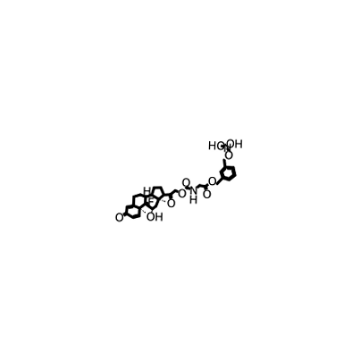 C[C@]12C[C@H](O)C3(F)[C@@H](CCC4=CC(=O)C=C[C@@]43C)C1CCC2C(=O)COC(=O)NCC(=O)OCc1cccc(CON(O)O)c1